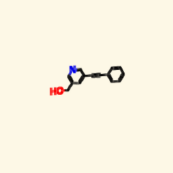 OCc1cncc(C#Cc2ccccc2)c1